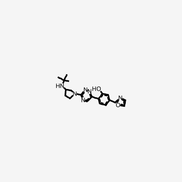 CC(C)(C)NC1CCN(c2ncc(-c3ccc(-c4ncco4)cc3O)nn2)C1